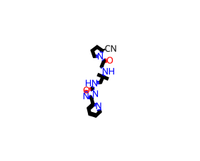 CC(C)(CNc1nc(-c2ccccn2)no1)NCC(=O)N1CCC[C@H]1C#N